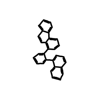 c1ccc(-c2cccc3c2ccc2ccccc23)c(-c2cccc3ccccc23)c1